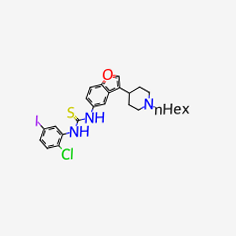 CCCCCCN1CCC(c2coc3ccc(NC(=S)Nc4cc(I)ccc4Cl)cc23)CC1